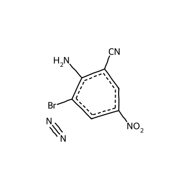 N#Cc1cc([N+](=O)[O-])cc(Br)c1N.N#N